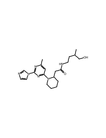 Cc1cc(N2CCCCC2CC(=O)NCCC(C)CO)nc(-n2ccnc2)n1